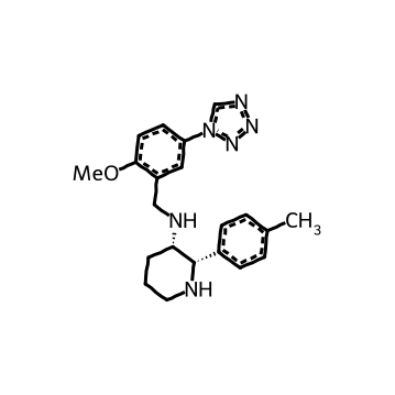 COc1ccc(-n2cnnn2)cc1CN[C@H]1CCCN[C@H]1c1ccc(C)cc1